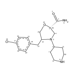 NC(=O)[C@@H]1CN(C2CCNCC2)C(Cc2ccc(Cl)cc2)CO1